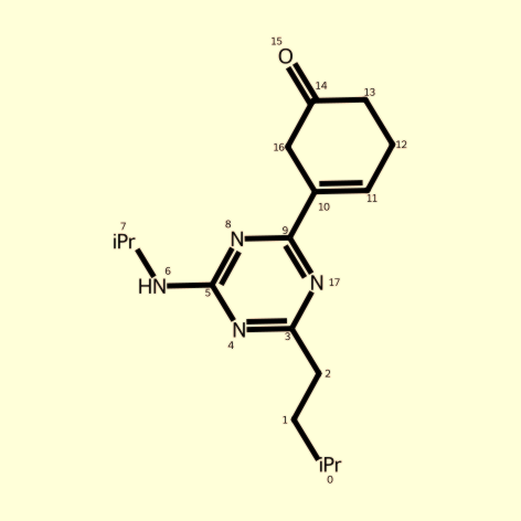 CC(C)CCc1nc(NC(C)C)nc(C2=CCCC(=O)C2)n1